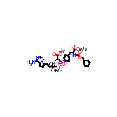 COC(=O)[C@H](Cc1ccc(OP(=O)(N[C@@H](C)C(=O)OC(C)C)OC[C@](C#N)(CCc2ccc3c(N)ncnn23)OC)cc1)NC(=O)OCc1ccccc1